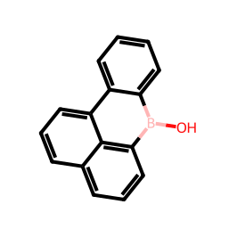 OB1c2ccccc2-c2cccc3cccc1c23